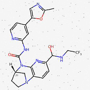 Cc1ncc(-c2ccnc(NC(=O)N3c4nc(C(O)NCC(F)(F)F)ccc4N4CC[C@H]3C4)c2)o1